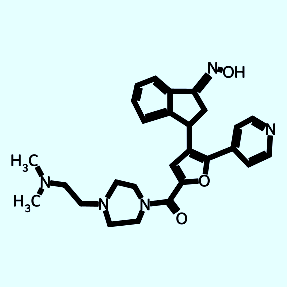 CN(C)CCN1CCN(C(=O)c2cc(C3CC(=NO)c4ccccc43)c(-c3ccncc3)o2)CC1